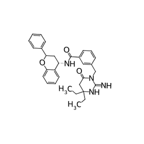 CCC1(CC)CC(=O)N(Cc2cccc(C(=O)N[C@H]3CC(c4ccccc4)Oc4ccccc43)c2)C(=N)N1